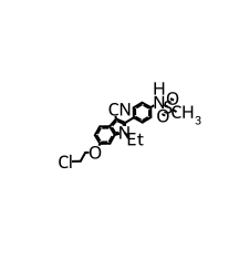 CCn1c(-c2ccc(NS(C)(=O)=O)cc2)c(C#N)c2ccc(OCCCl)cc21